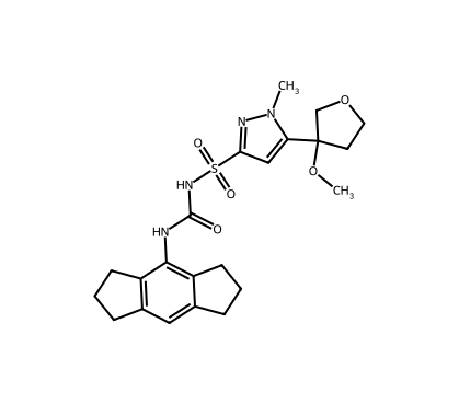 COC1(c2cc(S(=O)(=O)NC(=O)Nc3c4c(cc5c3CCC5)CCC4)nn2C)CCOC1